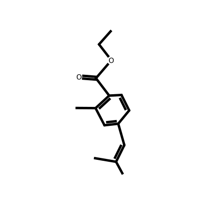 CCOC(=O)c1ccc(C=C(C)C)cc1C